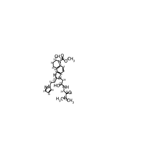 COC(=O)N1c2ccc3c(nc(CCn4cccn4)n3CC(O)NCC(=O)N(C)C)c2CC[C@@H]1C